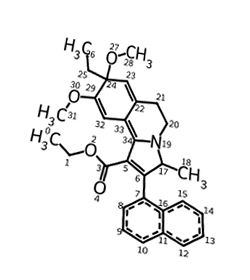 CCOC(=O)C1=C(c2cccc3ccccc23)C(C)N2CCC3=CC(CC)(OC)C(OC)=CC3=C12